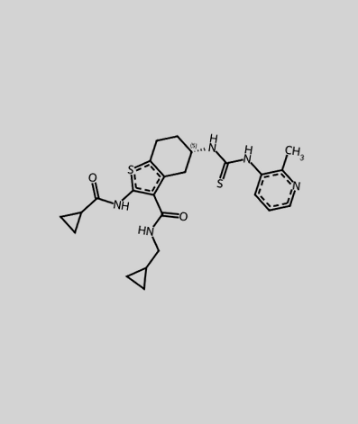 Cc1ncccc1NC(=S)N[C@H]1CCc2sc(NC(=O)C3CC3)c(C(=O)NCC3CC3)c2C1